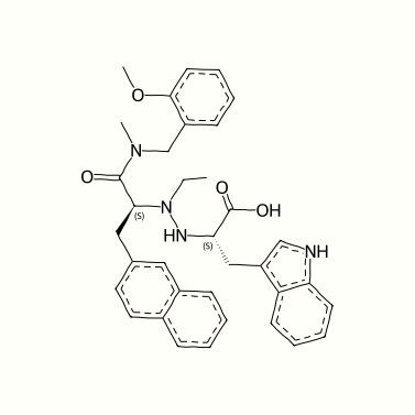 CCN(N[C@@H](Cc1c[nH]c2ccccc12)C(=O)O)[C@@H](Cc1ccc2ccccc2c1)C(=O)N(C)Cc1ccccc1OC